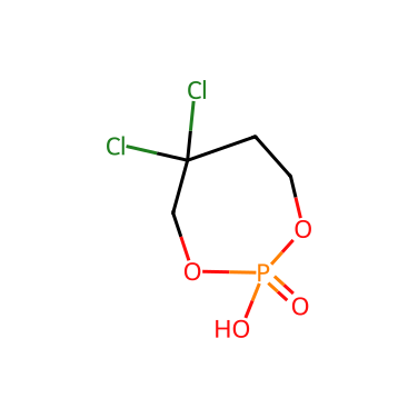 O=P1(O)OCCC(Cl)(Cl)CO1